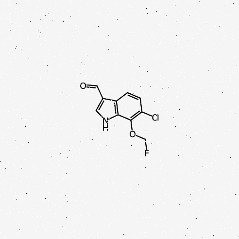 O=Cc1c[nH]c2c(OCF)c(Cl)ccc12